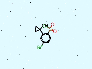 CC1(c2cc(Br)ccc2S(=O)(=O)Cl)CC1